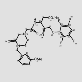 COc1cccc(CN2CCN(CC(=O)NC(CC(=O)O)C(=O)COc3c(F)c(F)cc(F)c3F)CC2=O)c1